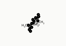 Cc1ccc(N(c2ccc3c(c2)C(C)(C)c2cc(N(c4ccc(C)cc4)c4cccc5c4oc4ccc6ccccc6c45)c4ccccc4c2-3)c2cccc3c2oc2ccc4ccccc4c23)cc1